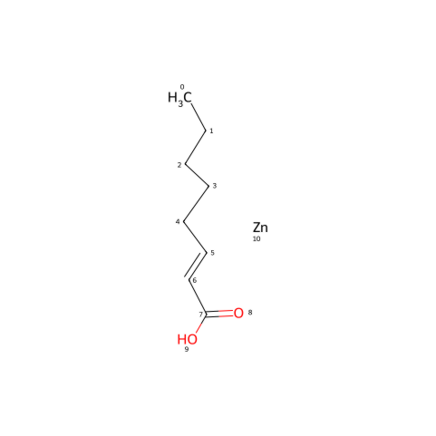 CCCCC/C=C/C(=O)O.[Zn]